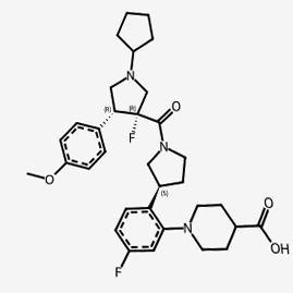 COc1ccc([C@@H]2CN(C3CCCC3)C[C@@]2(F)C(=O)N2CC[C@@H](c3ccc(F)cc3N3CCC(C(=O)O)CC3)C2)cc1